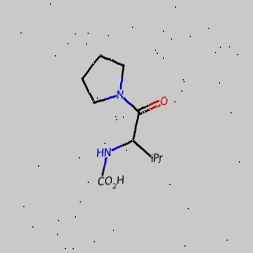 CC(C)C(NC(=O)O)C(=O)N1CCCC1